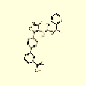 Cc1noc(-c2ccc(-c3cccc(C(=O)O)c3)cc2)c1NC(=O)OC(C)c1ccccn1